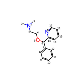 CN(C)CCOC(c1ccccc1)c1ccccn1